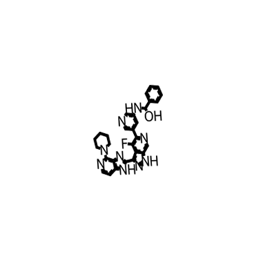 OC(Nc1cncc(-c2ncc3[nH]nc(-c4nc5c(N6CCCCC6)nccc5[nH]4)c3c2F)c1)c1ccccc1